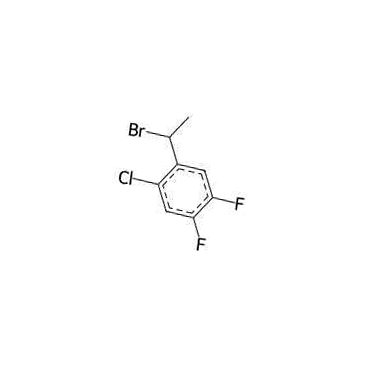 CC(Br)c1cc(F)c(F)cc1Cl